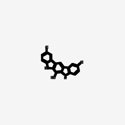 Oc1c2[nH]c3ccc(Cl)cc3c2cc2c1[nH]c1ccc(Cl)cc12